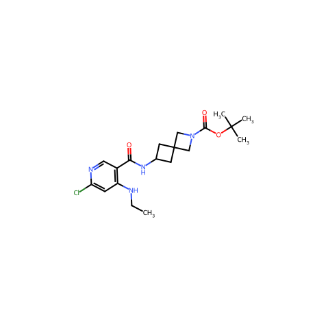 CCNc1cc(Cl)ncc1C(=O)NC1CC2(C1)CN(C(=O)OC(C)(C)C)C2